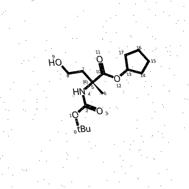 CC(C)(C)OC(=O)N[C@](C)(CCO)C(=O)OC1CCCC1